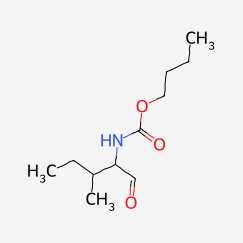 CCCCOC(=O)NC(C=O)C(C)CC